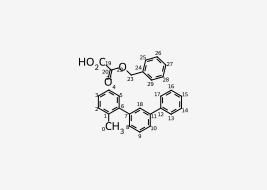 Cc1ccccc1-c1cccc(-c2ccccc2)c1.O=C(O)C(=O)OCc1ccccc1